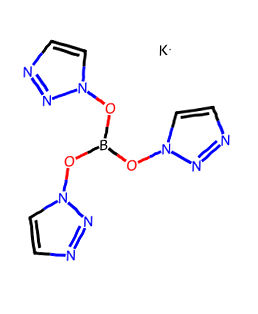 [K].c1cn(OB(On2ccnn2)On2ccnn2)nn1